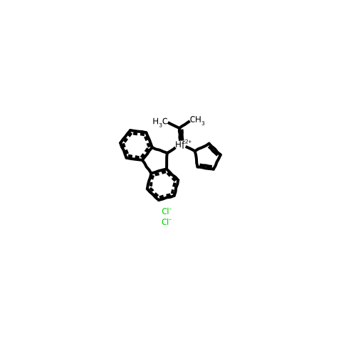 C[C](C)=[Hf+2]([CH]1C=CC=C1)[CH]1c2ccccc2-c2ccccc21.[Cl-].[Cl-]